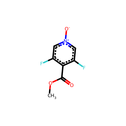 COC(=O)c1c(F)c[n+]([O-])cc1F